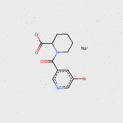 O=C([O-])C1CCCCN1C(=O)c1cncc(Br)c1.[Na+]